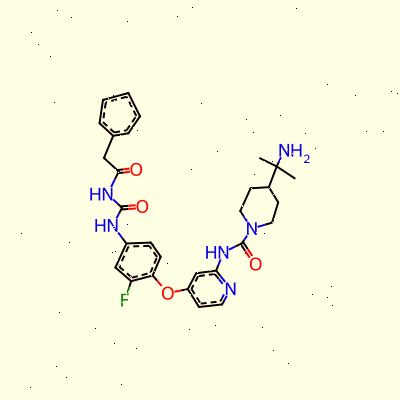 CC(C)(N)C1CCN(C(=O)Nc2cc(Oc3ccc(NC(=O)NC(=O)Cc4ccccc4)cc3F)ccn2)CC1